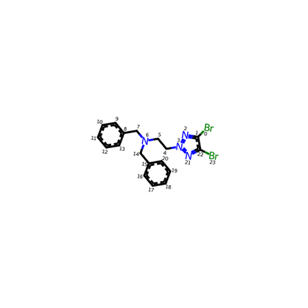 Brc1nn(CCN(Cc2ccccc2)Cc2ccccc2)nc1Br